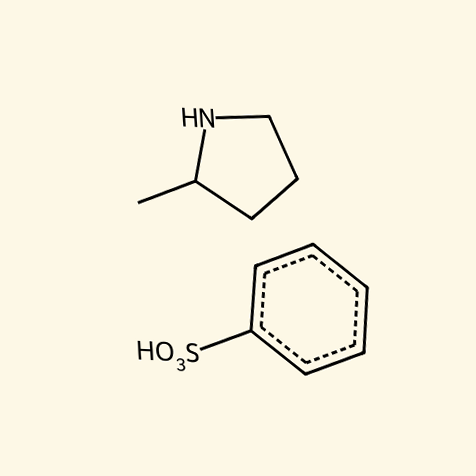 CC1CCCN1.O=S(=O)(O)c1ccccc1